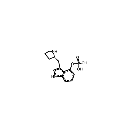 O=P(O)(O)Oc1cccc2[nH]cc(C[C@H]3CCCN3)c12